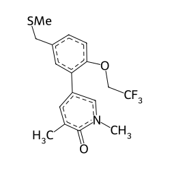 CSCc1ccc(OCC(F)(F)F)c(-c2cc(C)c(=O)n(C)c2)c1